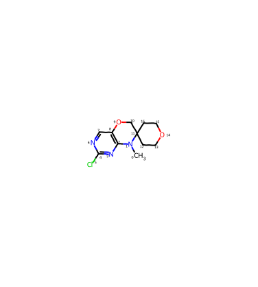 CN1c2nc(Cl)ncc2OCC12CCOCC2